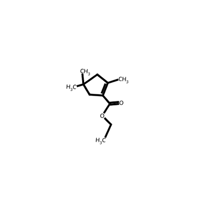 CCOC(=O)C1=C(C)CC(C)(C)C1